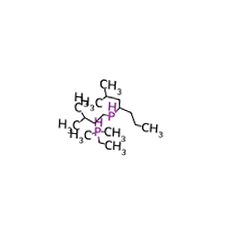 CCCC(CC(C)C)PCC(C(C)C)[PH](C)(C)CC